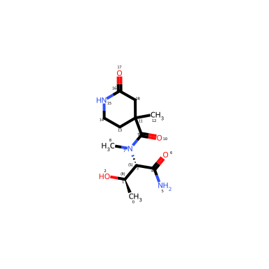 C[C@@H](O)[C@@H](C(N)=O)N(C)C(=O)C1(C)CCNC(=O)C1